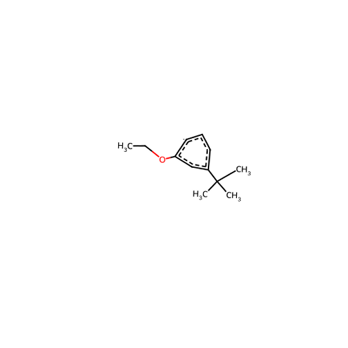 CCOc1[c]ccc(C(C)(C)C)c1